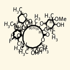 CC[C@H]1OC(=O)[C@H](C)[C@@H](O[C@H]2C[C@@](C)(OC)[C@@H](O)[C@H](C)O2)[C@H](C)[C@@H](O[C@@H]2O[C@H](C)C[C@H](N(C)C)[C@H]2Oc2ccc(F)c(C#N)c2)[C@](C)(O)C[C@@H](C)CN(C)[C@H](C)[C@@H](O)[C@]1(C)O